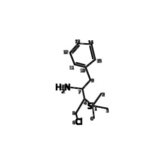 C[Si](C)(C)C(CCl)C(N)Cc1ccccc1